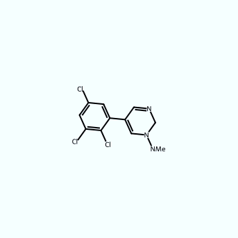 CNN1C=C(c2cc(Cl)cc(Cl)c2Cl)C=NC1